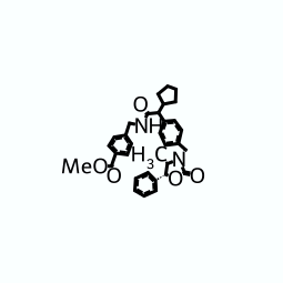 COC(=O)c1ccc(CNC(=O)C(c2ccc(CN3C(=O)O[C@H](c4ccccc4)[C@@H]3C)cc2)C2CCCC2)cc1